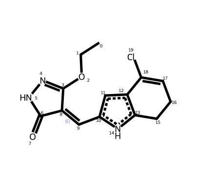 CCOC1=NNC(=O)/C1=C/c1cc2c([nH]1)CCC=C2Cl